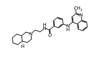 Cc1cc(Nc2cccc(C(=O)NCCN3CC[C@H]4CCCCC4C3)c2)c2ccccc2n1